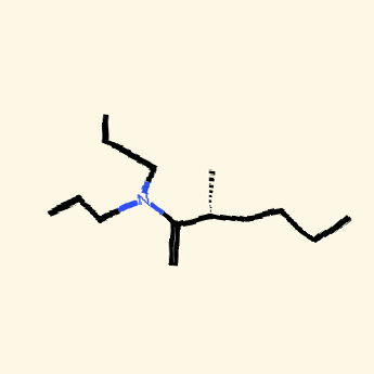 C=C([C@H](C)CCCC)N(CCC)CCC